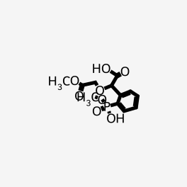 COC(=O)COC(C(=O)O)c1ccccc1P(=O)(O)OC